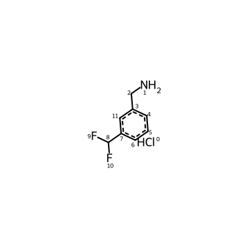 Cl.NCc1cccc(C(F)F)c1